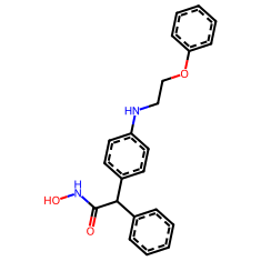 O=C(NO)C(c1ccccc1)c1ccc(NCCOc2ccccc2)cc1